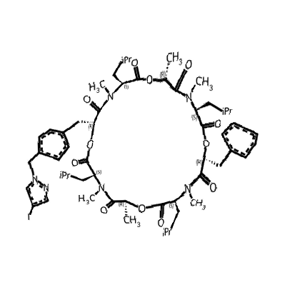 CC(C)C[C@H]1C(=O)O[C@H](Cc2ccc(Cn3cc(I)cn3)cc2)C(=O)N(C)[C@@H](CC(C)C)C(=O)O[C@H](C)C(=O)N(C)[C@@H](CC(C)C)C(=O)O[C@H](Cc2ccccc2)C(=O)N(C)[C@@H](CC(C)C)C(=O)O[C@H](C)C(=O)N1C